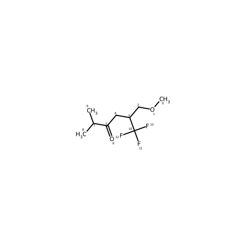 COCC(CC(=O)C(C)C)C(F)(F)F